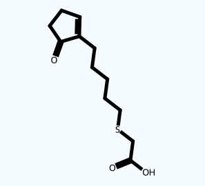 O=C(O)CSCCCCCC1=CCCC1=O